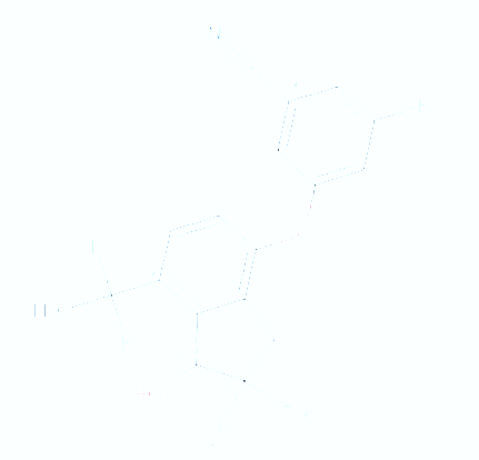 CC(F)(F)c1ccc(Oc2cc(F)cc(C#N)c2)c2c1C(O)C(F)(F)C2